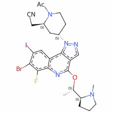 CC(=O)N1CC[C@H](n2ncc3c(O[C@@H](C)[C@@H]4CCCN4C)nc4c(F)c(Br)c(I)cc4c32)C[C@H]1CC#N